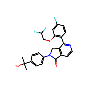 CC(C)(O)c1ccc(N2Cc3c(ccnc3-c3ccc(F)cc3OCC(F)F)C2=O)cc1